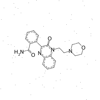 NC(=O)c1ccccc1-c1nc2ccccc2n(CCN2CCOCC2)c1=O